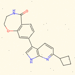 O=C1NCCOc2cc(-c3c[nH]c4nc(C5CCC5)ccc34)ccc21